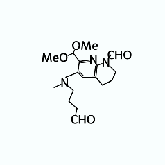 COC(OC)c1nc2c(cc1CN(C)CCCC=O)CCCN2C=O